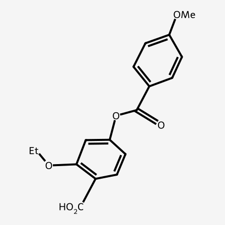 CCOc1cc(OC(=O)c2ccc(OC)cc2)ccc1C(=O)O